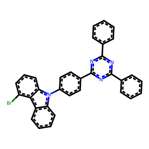 Brc1cccc2c1c1ccccc1n2-c1ccc(-c2nc(-c3ccccc3)nc(-c3ccccc3)n2)cc1